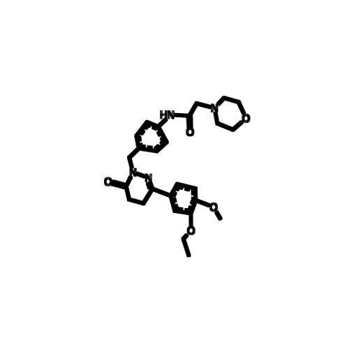 CCOc1cc(C2=NN(Cc3ccc(NC(=O)CN4CCOCC4)cc3)C(=O)CC2)ccc1OC